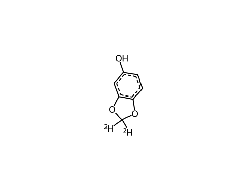 [2H]C1([2H])Oc2ccc(O)cc2O1